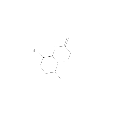 C=C(OC1CC(C)CCC1C(C)C)[C@H](C)O